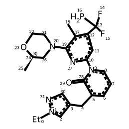 CCn1cc(Cc2cccn(-c3cc(C(F)(F)P)c(C)c(N4CCO[C@H](C)C4)n3)c2=O)cn1